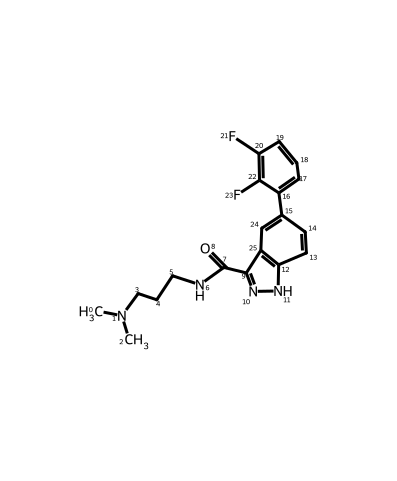 CN(C)CCCNC(=O)c1n[nH]c2ccc(-c3cccc(F)c3F)cc12